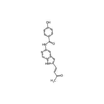 CC(=O)/C=C/c1cc2cc(NC(=O)c3ccc(O)cc3)ncc2[nH]1